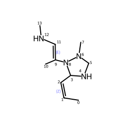 C/C=C\C1NCN(C)N1/C(C)=C/NC